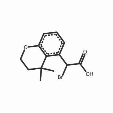 CC1(C)CCOc2cccc(C(Br)C(=O)O)c21